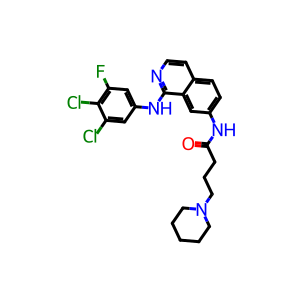 O=C(CCCN1CCCCC1)Nc1ccc2ccnc(Nc3cc(F)c(Cl)c(Cl)c3)c2c1